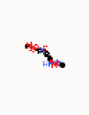 CC(C)(C)C(=O)OCOC(=O)C=C1CCN(C(=O)c2ccc(-c3ccc(C(=N)NC(=O)OCc4ccccc4)cc3)cc2)CC1